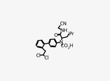 CC(C)CC(C(=O)NCC#N)N(C(=O)O)c1ccc(-c2ccccc2CC(Cl)Cl)cc1